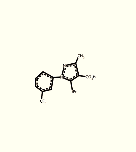 Cc1nn(-c2cccc(C(F)(F)F)c2)c(C(C)C)c1C(=O)O